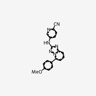 COc1ccc(-c2cccc3nc(Nc4ccc(C#N)nc4)nn23)cc1